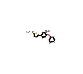 O=S(=O)(O)c1ccc(-c2ccc(Oc3ccccc3)cc2)s1.[NaH]